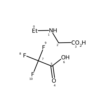 CCNCC(=O)O.O=C(O)C(F)(F)F